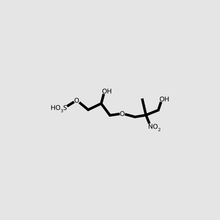 CC(CO)(COCC(O)COS(=O)(=O)O)[N+](=O)[O-]